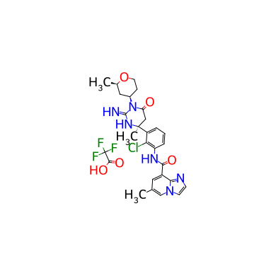 Cc1cc(C(=O)Nc2cccc([C@]3(C)CC(=O)N([C@@H]4CCO[C@H](C)C4)C(=N)N3)c2Cl)c2nccn2c1.O=C(O)C(F)(F)F